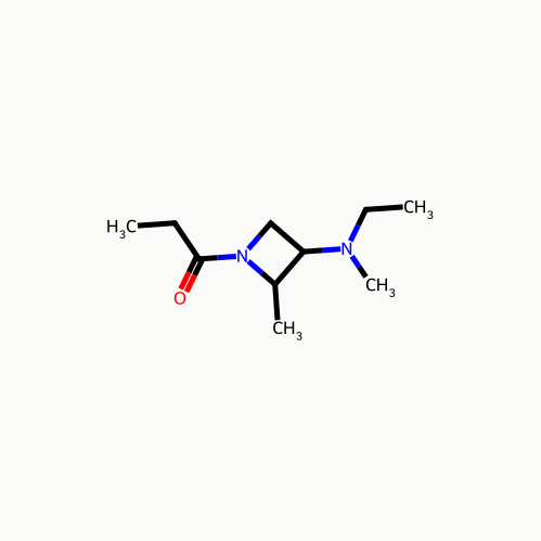 CCC(=O)N1CC(N(C)CC)C1C